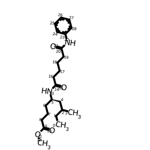 CCC(C)C[C@@H](CCCC(=O)OC)NC(=O)CCCCC(=O)Nc1ccccc1